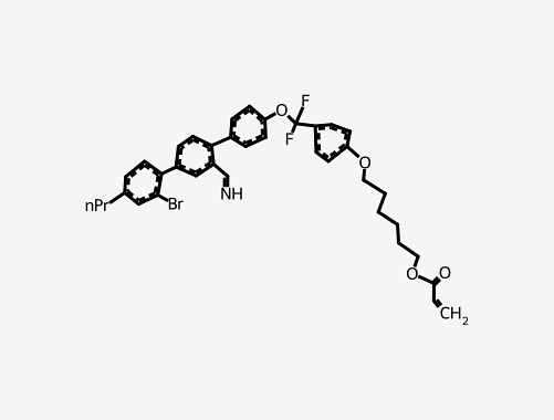 C=CC(=O)OCCCCCCOc1ccc(C(F)(F)Oc2ccc(-c3ccc(-c4ccc(CCC)cc4Br)cc3C=N)cc2)cc1